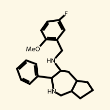 COc1ccc(F)cc1CNC1CC2CCCC2CNC1c1ccccc1